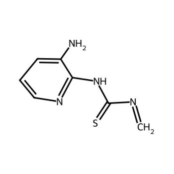 C=NC(=S)Nc1ncccc1N